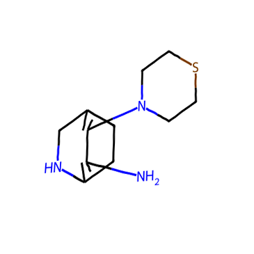 NC1=C2CCC(=C1N1CCSCC1)CN2